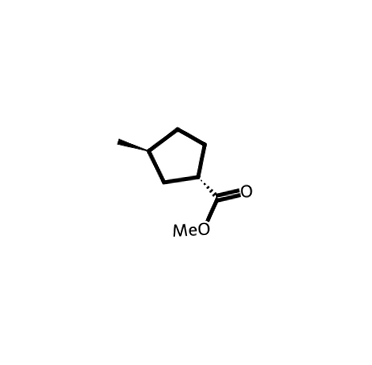 COC(=O)[C@H]1CC[C@H](C)C1